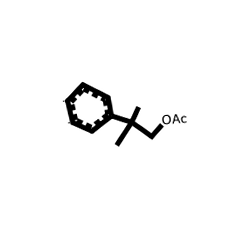 CC(=O)OCC(C)(C)c1c[c][c]cc1